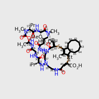 CC[C@H](C)[C@@H]([C@@H](CC(N)=O)OC)N(C)C(=O)CNC(=O)[C@H](C(C)C)N(C)C(=O)OC(C)NC(=O)CNC(=O)[C@@H](NN1CCNC(=O)/C=C(\C(=O)O)SC2(CC)C(C)=C(S/C(=C/C(=O)O)C(=O)NCC1)C1CCCCCCCC12)C(C)C